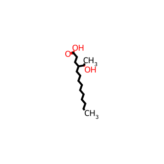 CCCCCCCCCCC(CCC(=O)O)C(C)O